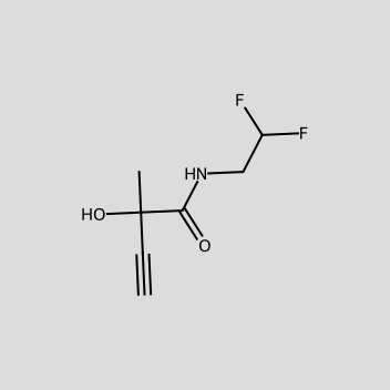 C#CC(C)(O)C(=O)NCC(F)F